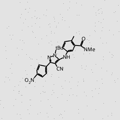 CNC(=O)c1cc(Nc2c(C#N)c(-c3ccc([N+](=O)[O-])cc3)nn2C(C)(C)C)ccc1C